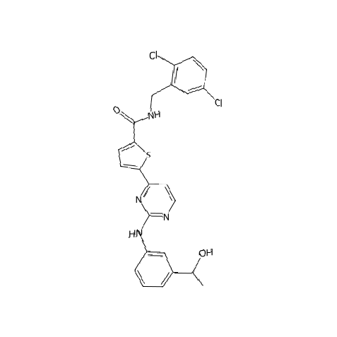 CC(O)c1cccc(Nc2nccc(-c3ccc(C(=O)NCc4cc(Cl)ccc4Cl)s3)n2)c1